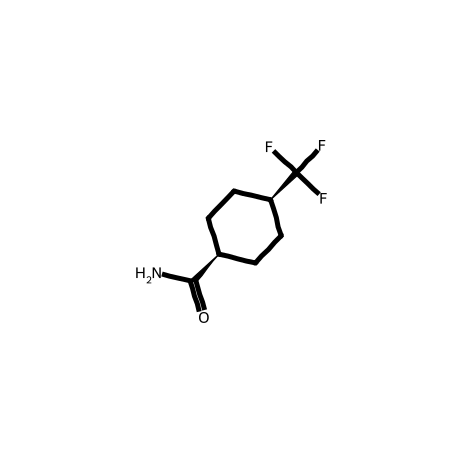 NC(=O)[C@H]1CC[C@@H](C(F)(F)F)CC1